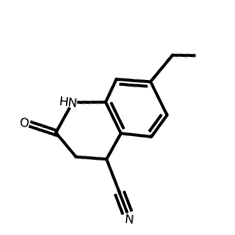 CCc1ccc2c(c1)NC(=O)CC2C#N